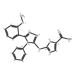 COc1ccccc1-c1nnc(Sc2ncc(C(=O)O)s2)n1-c1ccccc1